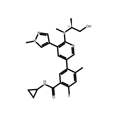 Cc1cc(F)c(C(=O)NC2CC2)cc1-c1cnc(N(C)[C@@H](C)CO)c(-c2cnn(C)c2)c1